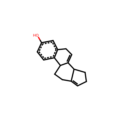 Oc1ccc2c(c1)CC=C1C3CCC=C3CCC12